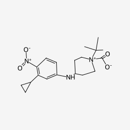 CC(C)(C)[N+]1(C(=O)[O-])CCC(Nc2ccc([N+](=O)[O-])c(C3CC3)c2)CC1